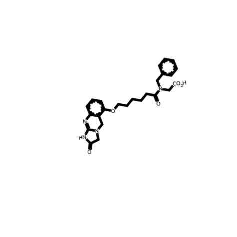 O=C(O)CN(Cc1ccccc1)C(=O)CCCCCOc1cccc2c1CN1CC(=O)NC1=N2